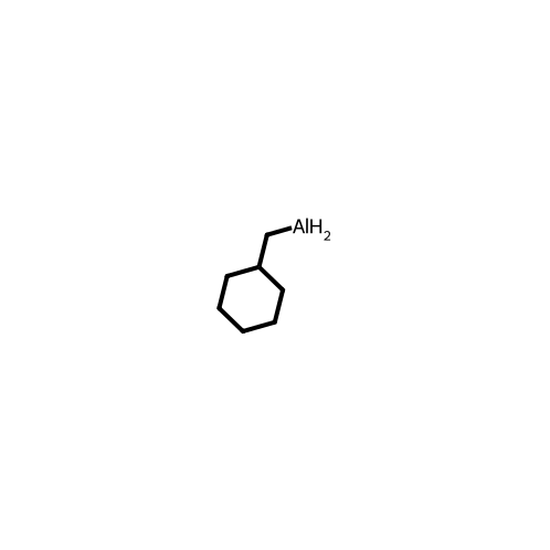 [AlH2][CH2]C1CCCCC1